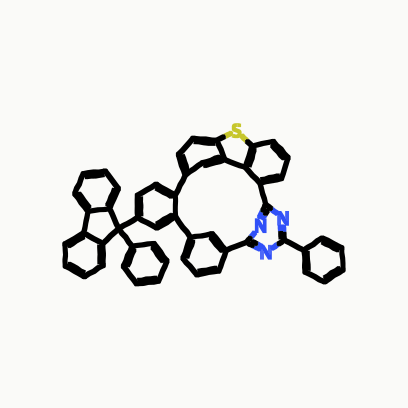 c1ccc(-c2nc3nc(n2)c2cccc4sc5ccc(cc5c42)c2ccc(C4(c5ccccc5)c5ccccc5-c5ccccc54)cc2c2cccc3c2)cc1